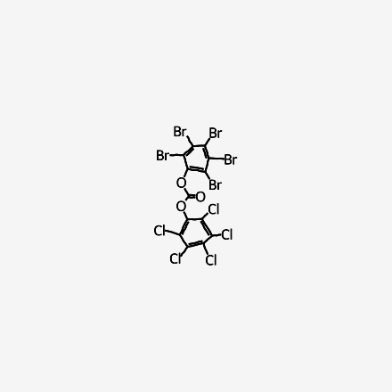 O=C(Oc1c(Cl)c(Cl)c(Cl)c(Cl)c1Cl)Oc1c(Br)c(Br)c(Br)c(Br)c1Br